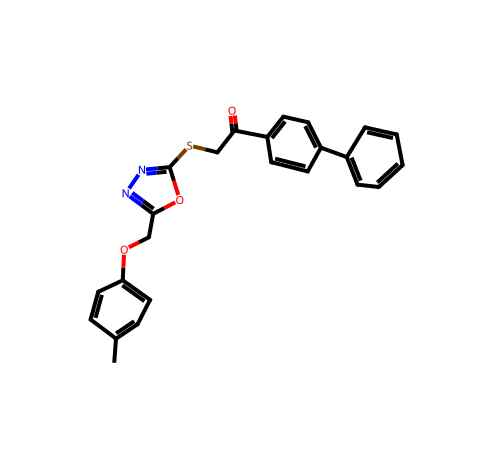 Cc1ccc(OCc2nnc(SCC(=O)c3ccc(-c4ccccc4)cc3)o2)cc1